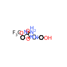 Nc1onc(-c2ccccc2OC(F)(F)F)c1C(=O)N1CCN(c2ccc(O)cc2)CC1